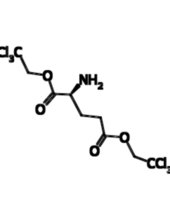 N[C@@H](CCC(=O)OCC(Cl)(Cl)Cl)C(=O)OCC(Cl)(Cl)Cl